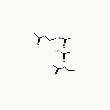 CC(=O)O.CC(=O)O.CCOC(C)=O.CCOC(C)=O